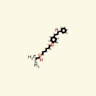 C=C(C)C(=O)OCCCCCCOc1ccc(/C=C/C(=O)c2ccccc2)cc1